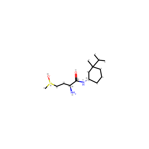 CC(C)C1(C)CCC[C@H](NC(=O)[C@@H](N)CC[S+](C)[O-])C1